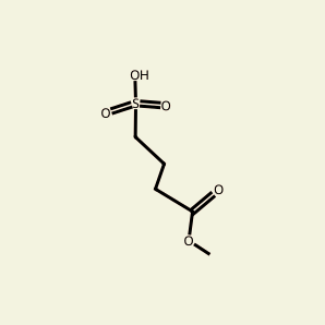 COC(=O)CCCS(=O)(=O)O